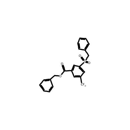 O=C(OCc1ccccc1)c1cc(C(F)(F)F)cc(S(=O)(=O)Cc2ccccc2)c1